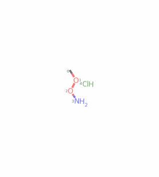 COON.Cl